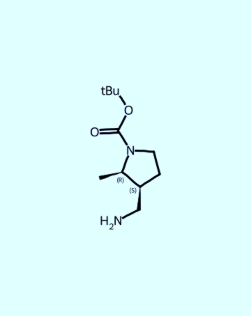 C[C@@H]1[C@H](CN)CCN1C(=O)OC(C)(C)C